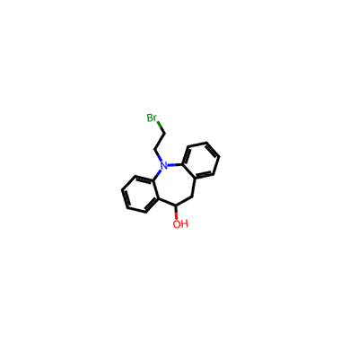 OC1Cc2ccccc2N(CCBr)c2ccccc21